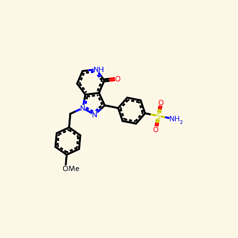 COc1ccc(Cn2nc(-c3ccc(S(N)(=O)=O)cc3)c3c(=O)[nH]ccc32)cc1